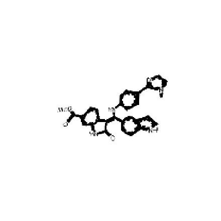 COC(=O)c1ccc2c(c1)NC(=O)C2=C(Nc1ccc(-c2nccn2C)cc1)c1ccc2[nH]ccc2c1